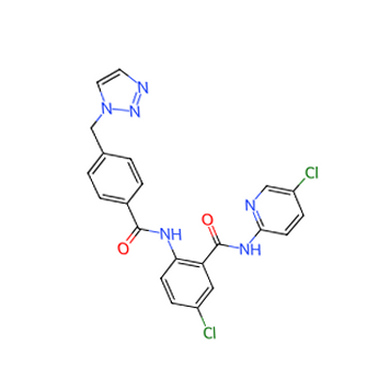 O=C(Nc1ccc(Cl)cc1C(=O)Nc1ccc(Cl)cn1)c1ccc(Cn2ccnn2)cc1